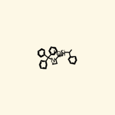 CC([SiH2]C[C@@H](O)C1CCN1C(c1ccccc1)(c1ccccc1)c1ccccc1)c1ccccc1